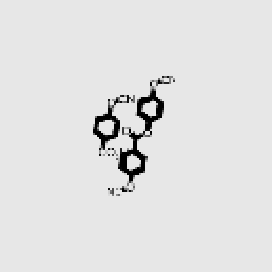 N#COc1ccc(C(=O)O)cc1.N#COc1ccc(OC(=O)c2ccc(OC#N)cc2)cc1